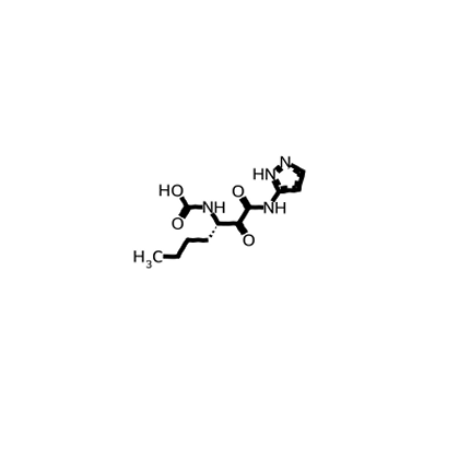 CCCC[C@H](NC(=O)O)C(=O)C(=O)Nc1ccn[nH]1